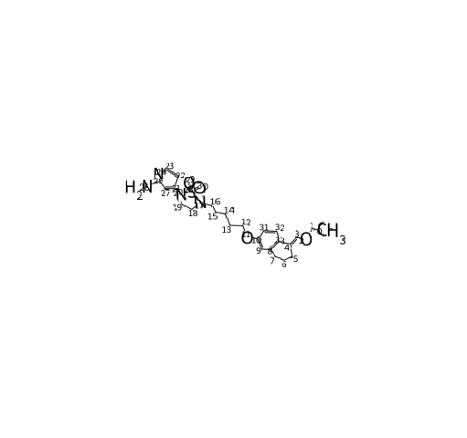 CCO/C=C1\CCCc2cc(OCCCCCN3CCN(c4ccnc(N)c4)S3(=O)=O)ccc21